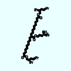 CC(C)CCC(COC(=O)CCCCCCCCCC(CCCCCCCCCC(=O)OCC(CCC(C)C)C(C)C)C(=O)OCCCN(C)C(C)C)C(C)C